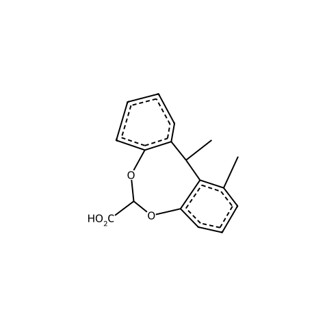 Cc1cccc2c1C(C)c1ccccc1OC(C(=O)O)O2